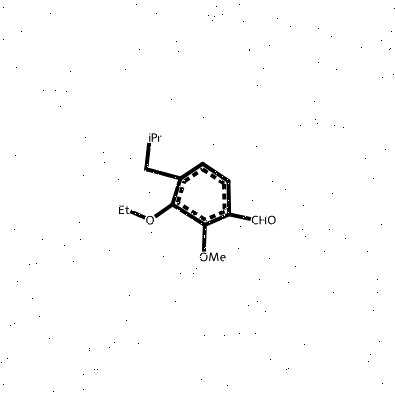 CCOc1c(CC(C)C)ccc(C=O)c1OC